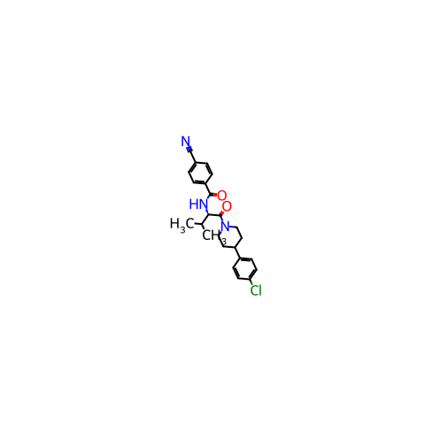 CC(C)[C@@H](NC(=O)c1ccc(C#N)cc1)C(=O)N1CCC(c2ccc(Cl)cc2)CC1